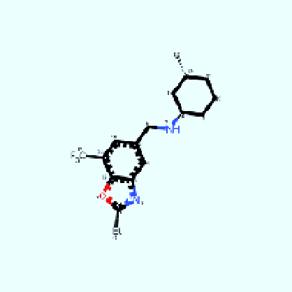 CCc1nc2cc(CN[C@@H]3CCC[C@@H](C)C3)cc(C(F)(F)F)c2o1